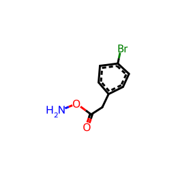 NOC(=O)Cc1ccc(Br)cc1